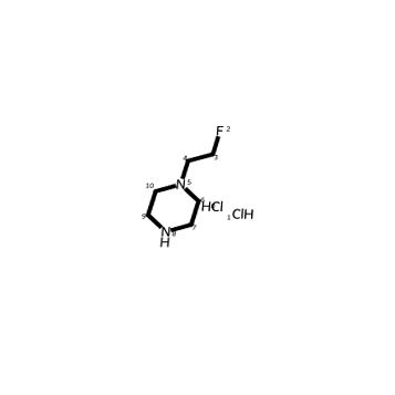 Cl.Cl.FCCN1CCNCC1